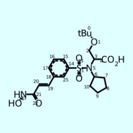 CC(C)(C)OCC(C(=O)O)N(C1CCCC1)S(=O)(=O)c1cccc(C=CC(=O)NO)c1